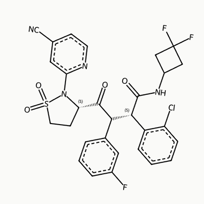 N#Cc1ccnc(N2[C@H](C(=O)C(c3cccc(F)c3)[C@H](C(=O)NC3CC(F)(F)C3)c3ccccc3Cl)CCS2(=O)=O)c1